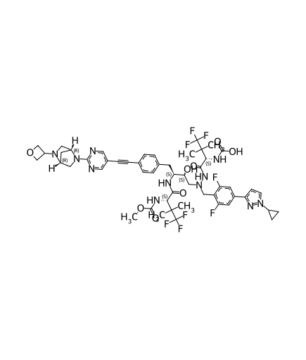 COC(=O)N[C@H](C(=O)N[C@@H](Cc1ccc(C#Cc2cnc(N3C[C@H]4C[C@@H]3CN4C3COC3)nc2)cc1)[C@@H](O)CN(Cc1c(F)cc(-c2ccn(C3CC3)n2)cc1F)NC(=O)[C@@H](NC(=O)O)C(C)(C)C(F)(F)F)C(C)(C)C(F)(F)F